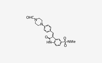 CNS(=O)(=O)c1ccc2c(c1)C(=Cc1ccc(N3CCN(C=O)CC3)cc1)C(=O)N2